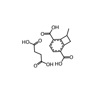 CC1Cc2c(C(=O)O)ccc(C(=O)O)c21.O=C(O)CCC(=O)O